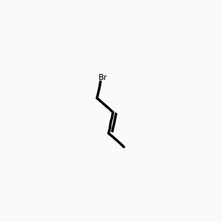 CC=[C]CBr